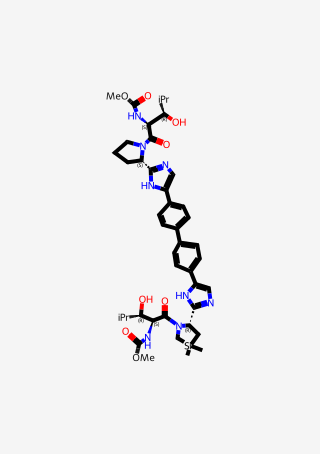 COC(=O)N[C@H](C(=O)N1CCC[C@H]1c1ncc(-c2ccc(-c3ccc(-c4cnc([C@@H]5C[Si](C)(C)CN5C(=O)[C@@H](NC(=O)OC)[C@H](O)C(C)C)[nH]4)cc3)cc2)[nH]1)[C@H](O)C(C)C